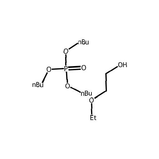 CCCCOP(=O)(OCCCC)OCCCC.CCOCCO